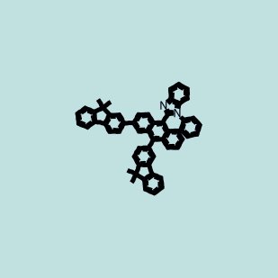 CC1(C)c2ccccc2-c2cc(-c3c4ccccc4c(-c4nc5ccccc5n4-c4ccccc4)c4ccc(-c5ccc6c(c5)C(C)(C)c5ccccc5-6)cc34)ccc21